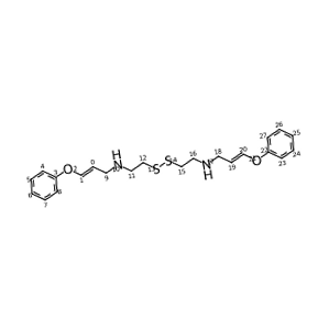 C(=COc1ccccc1)CNCCSSCCNCC=COc1ccccc1